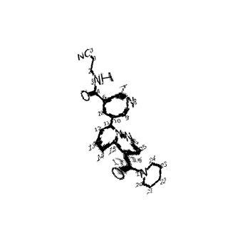 N#CCCNC(=O)c1cncc(-c2cccc3c(C(=O)N4CCCCC4)cnn23)c1